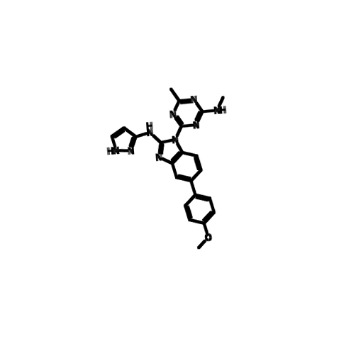 CNc1nc(C)nc(-n2c(Nc3cc[nH]n3)nc3cc(-c4ccc(OC)cc4)ccc32)n1